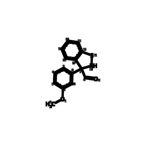 COc1cccc(C2(C=O)NSc3ccccc32)c1